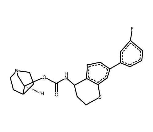 O=C(NC1CCSc2cc(-c3cccc(F)c3)ccc21)O[C@@H]1CN2CCC1CC2